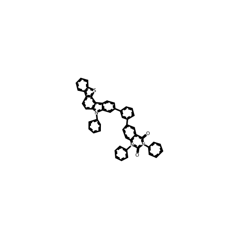 O=c1c2cc(-c3cccc(-c4ccc5c6c7sc8ccccc8c7ccc6n(-c6ccccc6)c5c4)c3)ccc2n(-c2ccccc2)c(=O)n1-c1ccccc1